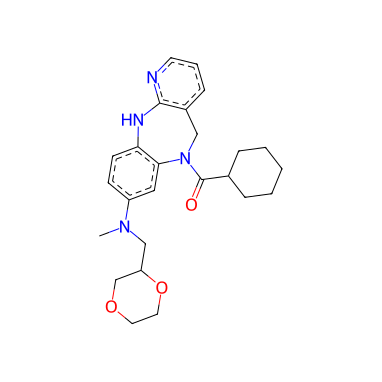 CN(CC1COCCO1)c1ccc2c(c1)N(C(=O)C1CCCCC1)Cc1cccnc1N2